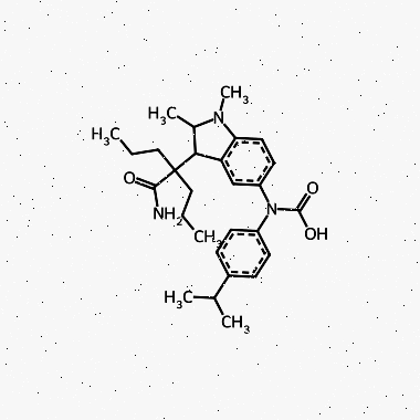 CCCC(CCC)(C(N)=O)C1c2cc(N(C(=O)O)c3ccc(C(C)C)cc3)ccc2N(C)C1C